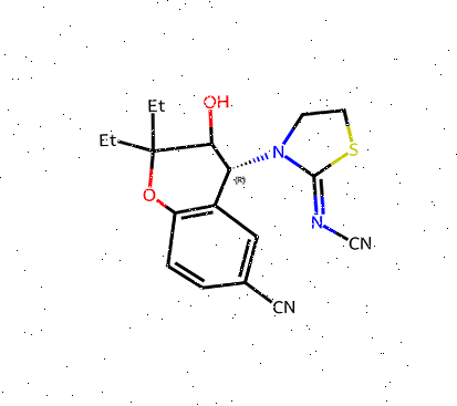 CCC1(CC)Oc2ccc(C#N)cc2[C@@H](N2CCSC2=NC#N)C1O